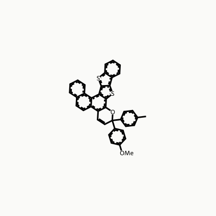 COc1ccc(C2(c3ccc(C)cc3)C=Cc3c(c4sc5c6ccccc6sc5c4c4c3ccc3ccccc34)O2)cc1